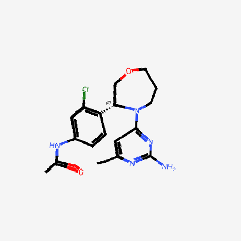 CC(=O)Nc1ccc([C@@H]2COCCCN2c2cc(C)nc(N)n2)c(Cl)c1